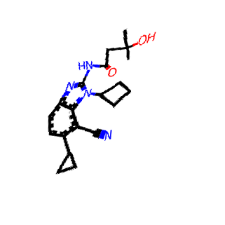 CC(C)(O)CC(=O)Nc1nc2ccc(C3CC3)c(C#N)c2n1C1CCC1